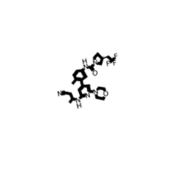 Cc1ccc(NC(=O)N2CC[C@@H](CC(F)(F)F)C2)cc1-c1cc(NC(C)CC#N)nc(N2CCOCC2)c1